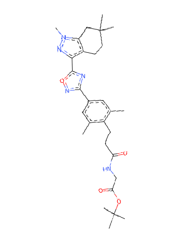 Cc1cc(-c2noc(-c3nn(C)c4c3CCC(C)(C)C4)n2)cc(C)c1CCC(=O)NCC(=O)OC(C)(C)C